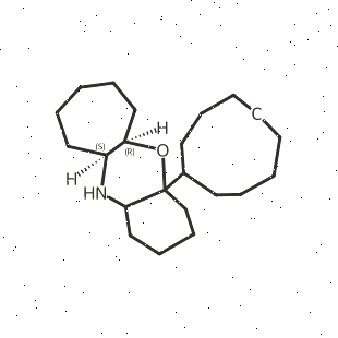 C1CCCCC(C23CCCCC2N[C@H]2CCCCC[C@H]2O3)CCC1